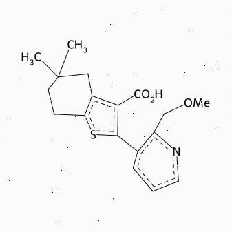 COCc1ncccc1-c1sc2c(c1C(=O)O)CC(C)(C)CC2